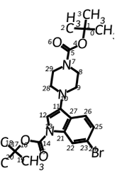 CC(C)(C)OC(=O)N1CCN(c2cn(C(=O)OC(C)(C)C)c3cc(Br)ccc23)CC1